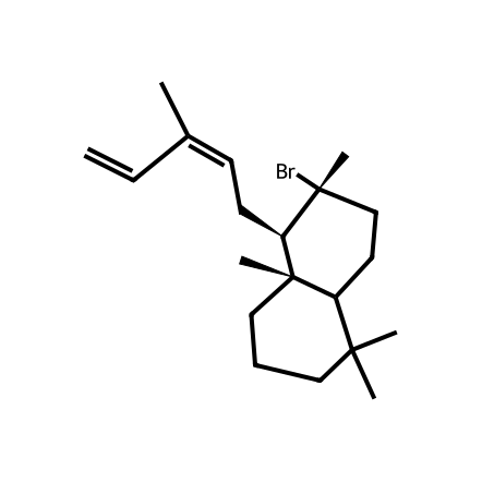 C=C/C(C)=C\C[C@@H]1[C@@]2(C)CCCC(C)(C)C2CC[C@@]1(C)Br